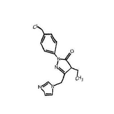 CCC1C(=O)N(c2ccc(Cl)cc2)N=C1Cn1ccnc1